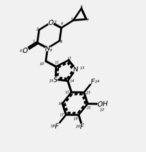 O=C1COC(C2CC2)CN1Cc1cnc(-c2cc(F)c(F)c(O)c2F)s1